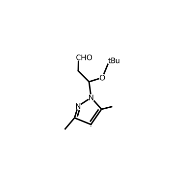 Cc1[c]c(C)n(C(CC=O)OC(C)(C)C)n1